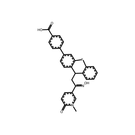 Cc1ccccc1C(C/C(=N\O)c1ccc(=O)n(C)c1)c1ccc(-c2ccc(C(=O)O)cc2)cc1F